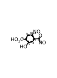 O=NC(=O)c1cc(O)c(C(=O)O)cc1N=O